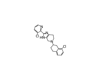 Clc1cccnc1-c1nc2c([nH]1)CN(C1CCc3cccc(Cl)c3C1)CC2